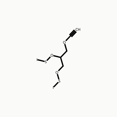 C#COCC(COSI)OSI